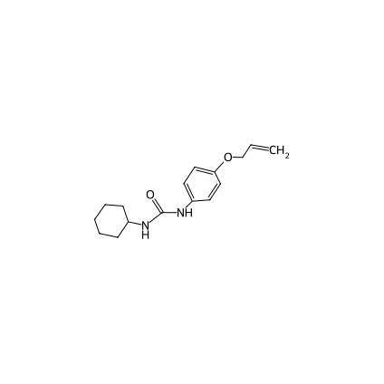 C=CCOc1ccc(NC(=O)NC2CCCCC2)cc1